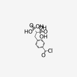 O=C(Cl)c1ccc(CC(P(=O)(O)O)P(=O)(O)O)cc1